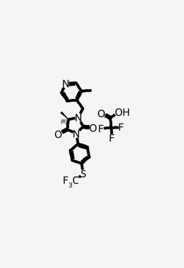 Cc1cnccc1CN1C(=O)N(c2ccc(SC(F)(F)F)cc2)C(=O)[C@H]1C.O=C(O)C(F)(F)F